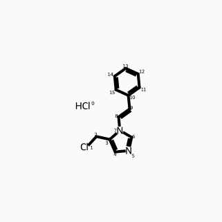 Cl.ClCc1cncn1C=Cc1ccccc1